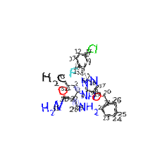 C=C/C=C(Nc1nc(-c2cc(Cl)ccc2F)ncc1OCc1ccccc1)\C(=C/N)C(N)=O